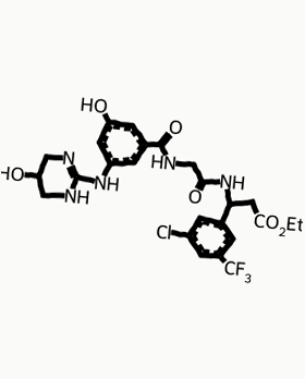 CCOC(=O)CC(NC(=O)CNC(=O)c1cc(O)cc(NC2=NCC(O)CN2)c1)c1cc(Cl)cc(C(F)(F)F)c1